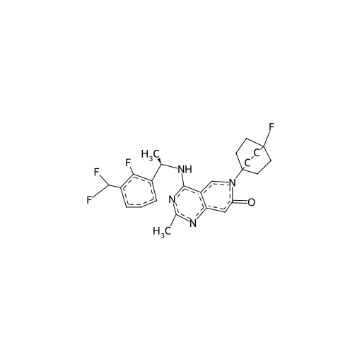 Cc1nc(N[C@H](C)c2cccc(C(F)F)c2F)c2cn(C34CCC(F)(CC3)CC4)c(=O)cc2n1